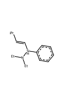 CCN(CC)[SiH](C=CC(C)C)c1ccccc1